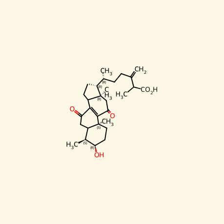 C=C(CC[C@@H](C)[C@H]1CCC2C3=C(C(=O)C[C@@]21C)[C@@]1(C)CC[C@@H](O)[C@@H](C)C1CC3=O)C(C)C(=O)O